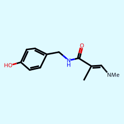 CN/C=C(\C)C(=O)NCc1ccc(O)cc1